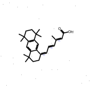 CC(/C=C/C=C1/CCC(C)(C)c2cc3c(cc21)C(C)(C)CCC3(C)C)=C\C(=O)O